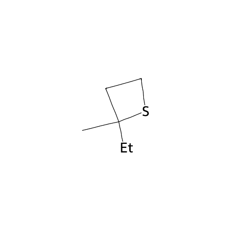 CCC1(C)CCS1